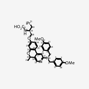 COc1ccc(CN(Cc2ccc(OC)cc2)c2cc3c(cn2)C(C)Oc2cc(OC[C@H](CC(C)C)NC(=O)O)ccc2-3)cc1